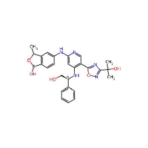 CC1OB(O)c2ccc(Nc3cc(N[C@H](CO)c4ccccc4)c(-c4nc(C(C)(C)O)no4)cn3)cc21